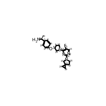 C[C@H](N)c1ccc(O[C@@H]2CCN(c3nc(N4CCC5(CC5)C4)ncc3F)C2)cc1